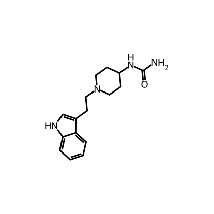 NC(=O)NC1CCN(CCc2c[nH]c3ccccc23)CC1